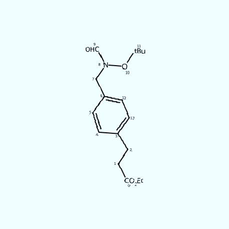 CCOC(=O)CCc1ccc(CN(C=O)OC(C)(C)C)cc1